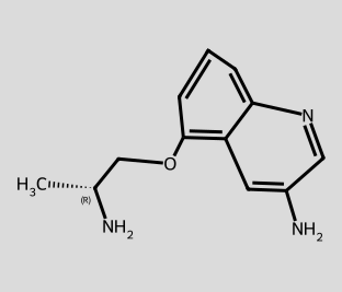 C[C@@H](N)COc1cccc2ncc(N)cc12